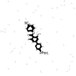 CCCCCC1CCC(c2cc(F)c(C(=O)Oc3ccc(C#N)cc3)c(F)c2)CC1